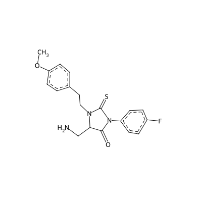 COc1ccc(CCN2C(=S)N(c3ccc(F)cc3)C(=O)C2CN)cc1